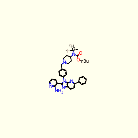 [2H]C([2H])([2H])N(C(=O)OCCCC)C1CCN(Cc2ccc(-n3c(-c4cccnc4N)nc4ccc(-c5ccccc5)nc43)cc2)CC1